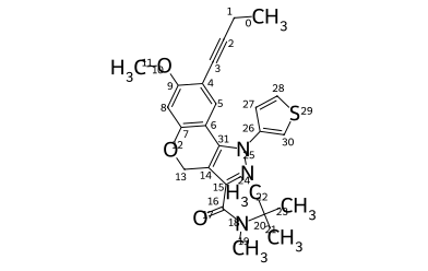 CCC#Cc1cc2c(cc1OC)OCc1c(C(=O)N(C)C(C)(C)C)nn(-c3ccsc3)c1-2